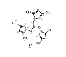 Cc1cc(C)n(OB(On2nc(C)cc2C)On2nc(C)cc2C)n1.[Cr]